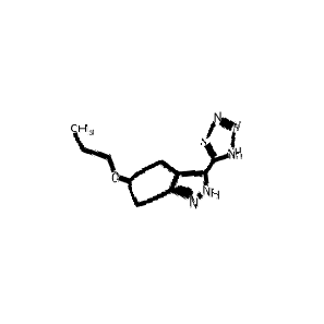 CCCOC1Cc2n[nH]c(-c3nnn[nH]3)c2C1